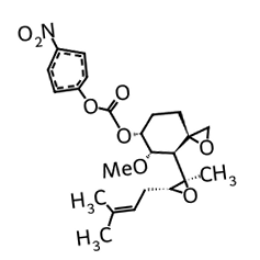 CO[C@@H]1[C@H](OC(=O)Oc2ccc([N+](=O)[O-])cc2)CC[C@]2(CO2)[C@H]1[C@@]1(C)O[C@@H]1CC=C(C)C